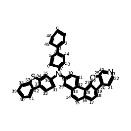 c1ccc(-c2ccc(N(c3ccc4c(ccc5ccc6c7ccncc7oc6c54)c3)c3ccc4c(c3)sc3ccccc34)cc2)cc1